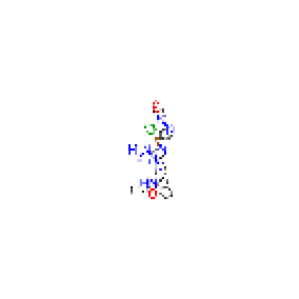 CC(C)(C)[S+]([O-])N[C@@H]1c2ccccc2CC12CCN(c1cnc(Sc3ccnc(N4CCOCC4)c3Cl)c(N)n1)CC2